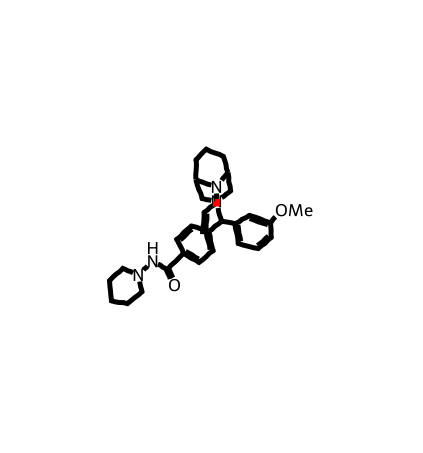 C=CCN1C2CCCC1CN(C(c1ccc(C(=O)NN3CCCCC3)cc1)c1cccc(OC)c1)C2